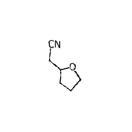 N#CCC1CCCO1